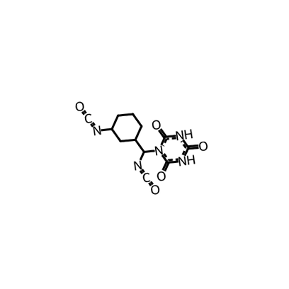 O=C=NC1CCCC(C(N=C=O)n2c(=O)[nH]c(=O)[nH]c2=O)C1